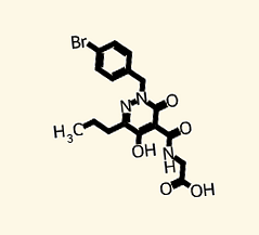 CCCc1nn(Cc2ccc(Br)cc2)c(=O)c(C(=O)NCC(=O)O)c1O